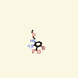 CCOCCNc1ccc(Br)c(C(=O)OC)c1N